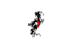 CO[C@H]1[C@H]2OP(=O)(O)OC[C@H]3O[C@@H](n4ncc5c(N)nnnc54)[C@H](O)[C@@H]3P(=O)(O)OC[C@H]1O[C@H]2n1cnc2c(=O)[nH]c(N)nc21